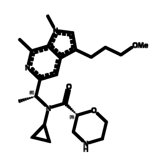 COCCCc1cn(C)c2c(C)nc([C@@H](C)N(C(=O)[C@H]3CNCCO3)C3CC3)cc12